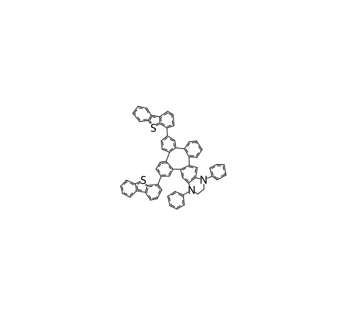 c1ccc(N2CCN(c3ccccc3)c3cc4c(cc32)-c2ccccc2-c2cc(-c3cccc5c3sc3ccccc35)ccc2-c2ccc(-c3cccc5c3sc3ccccc35)cc2-4)cc1